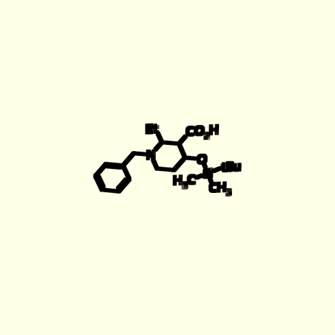 CCC1C(C(=O)O)C(O[Si](C)(C)C(C)(C)C)CCN1Cc1ccccc1